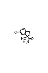 NC(=O)C1(O)[CH]Cc2ccc(Cl)cc21